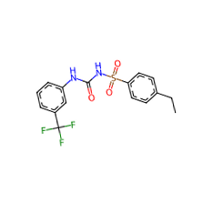 CCc1ccc(S(=O)(=O)NC(=O)Nc2cccc(C(F)(F)F)c2)cc1